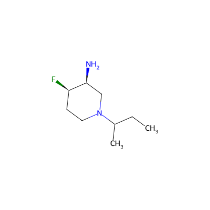 CCC(C)N1CC[C@@H](F)[C@@H](N)C1